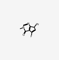 CC(C)C1C=C(F)c2c1ncn(C)c2=O